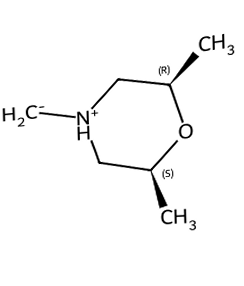 [CH2-][NH+]1C[C@@H](C)O[C@@H](C)C1